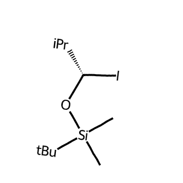 CC(C)[C@H](I)O[Si](C)(C)C(C)(C)C